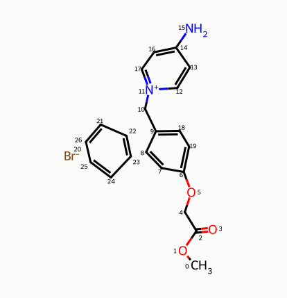 COC(=O)COc1ccc(C[n+]2ccc(N)cc2)cc1.[Br-].c1ccccc1